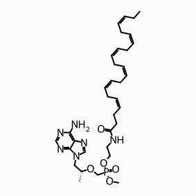 CC/C=C\C/C=C\C/C=C\C/C=C\C/C=C\C/C=C\CCC(=O)NCCOP(=O)(CO[C@H](C)Cn1cnc2c(N)ncnc21)OC